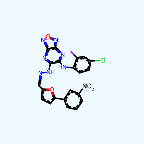 O=[N+]([O-])c1cccc(-c2ccc(/C=N\Nc3nc4nonc4nc3Nc3ccc(Cl)cc3I)o2)c1